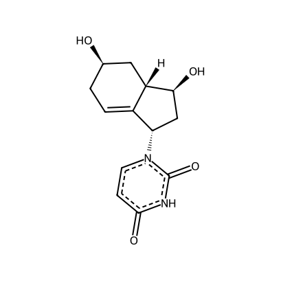 O=c1ccn([C@H]2C[C@H](O)[C@H]3C[C@H](O)CC=C32)c(=O)[nH]1